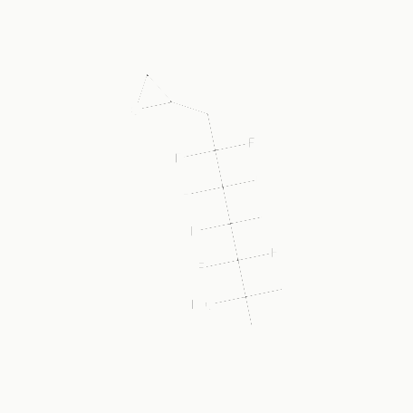 CC(F)(C(F)(F)F)C(F)(F)C(F)(F)C(F)(F)C(F)(F)CC1CO1